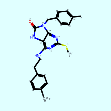 CCCSc1nc(NCCc2ccc(OC)cc2)c2[nH]c(=O)n(Cc3ccc(C)cc3)c2n1